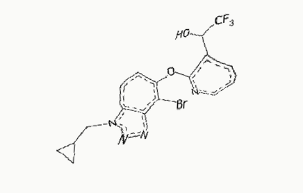 OC(c1cccnc1Oc1ccc2c(nnn2CC2CC2)c1Br)C(F)(F)F